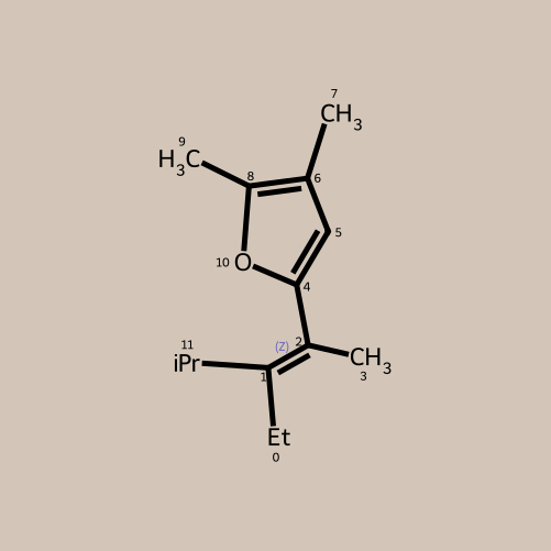 CC/C(=C(\C)c1cc(C)c(C)o1)C(C)C